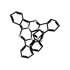 c1ccc2c(c1)C1=Nc3c4ccccc4c4n3C35N1C2N=c1c2ccccc2c(n13)=NC1c2ccccc2C(=N4)N15